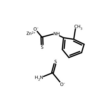 Cc1ccccc1NC([O-])=S.NC([O-])=S.[Zn+2]